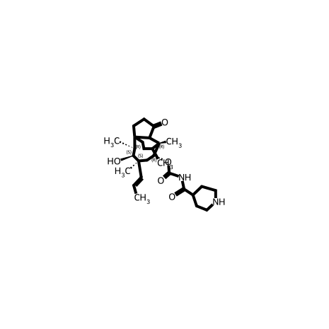 CC=C[C@]1(C)C[C@@H](OC(=O)NC(=O)C2CCNCC2)[C@]2(C)C(C)CCC3(CCC(=O)C32)[C@@H](C)[C@@H]1O